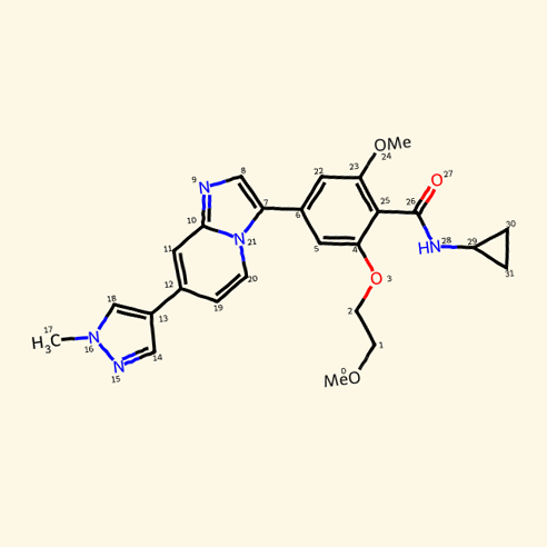 COCCOc1cc(-c2cnc3cc(-c4cnn(C)c4)ccn23)cc(OC)c1C(=O)NC1CC1